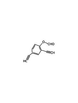 C#Cc1ccc(OC=O)c(C#C)c1